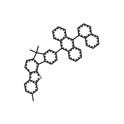 Cc1ccc2c(c1)sc1c3c(ccc12)C(C)(C)c1cc(-c2c4ccccc4c(-c4cccc5ccccc45)c4ccccc24)ccc1-3